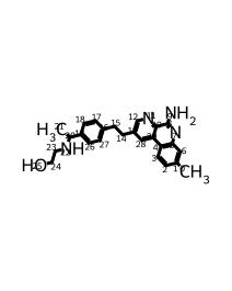 Cc1ccc2c(c1)nc(N)c1ncc(CCc3ccc(C(C)NCCO)cc3)cc12